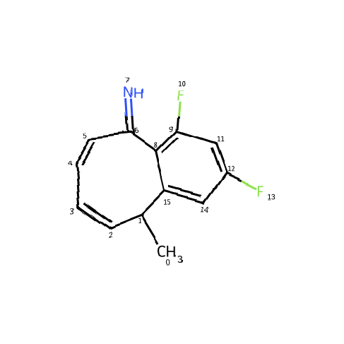 CC1/C=C\C=C/C(=N)c2c(F)cc(F)cc21